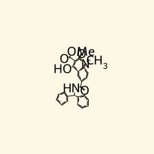 COC(=O)c1c(O)c2cc(C(=O)NC(c3ccccc3)c3ccccc3)ccc2n(C)c1=O